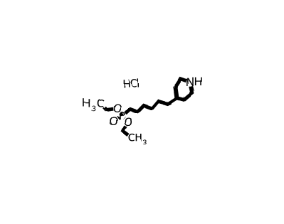 CCOP(=O)(CCCCCCC1CCNCC1)OCC.Cl